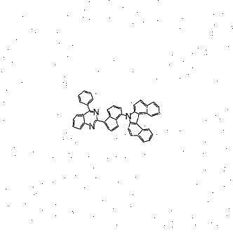 c1ccc(-c2nc(-c3cccc4c(-n5c6ccc7ccccc7c6c6c7ccccc7ccc65)cccc34)nc3ccccc23)cc1